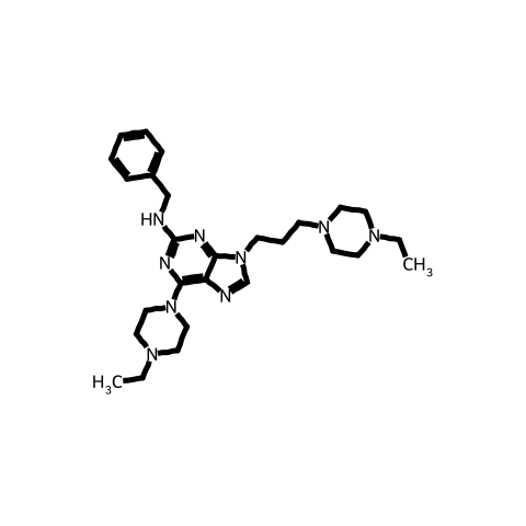 CCN1CCN(CCCn2cnc3c(N4CCN(CC)CC4)nc(NCc4ccccc4)nc32)CC1